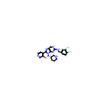 Fc1ccc(CNc2ncc3nc(-c4ccncc4Br)n(C[C@H]4CCCNC4)c3n2)cc1F